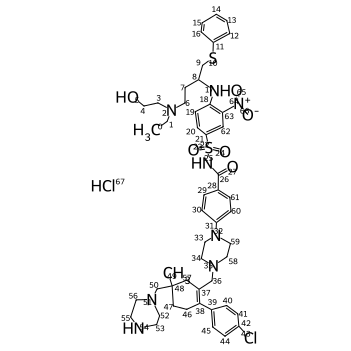 CCN(CCO)CCC(CSc1ccccc1)Nc1ccc(S(=O)(=O)NC(=O)c2ccc(N3CCN(CC4=C(c5ccc(Cl)cc5)CCC(C)(CN5CCNCC5)C4)CC3)cc2)cc1[N+](=O)[O-].Cl